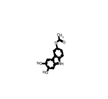 CC(=O)Oc1ccc2[nH]c3cc(O)c(O)cc3c2c1